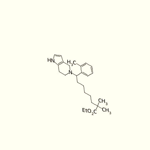 CCOC(=O)C(C)(C)CCCCCC(c1ccccc1C)N1CCc2[nH]ccc2C1